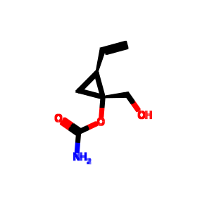 C=C[C@@H]1C[C@@]1(CO)OC(N)=O